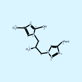 CCCCCc1cn(C[C@@H](C)Cn2cc([N+](=O)[O-])nc2O)nn1